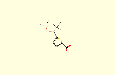 C[SiH](C)OC(c1ccc(C(=O)O)s1)C(C)(C)C